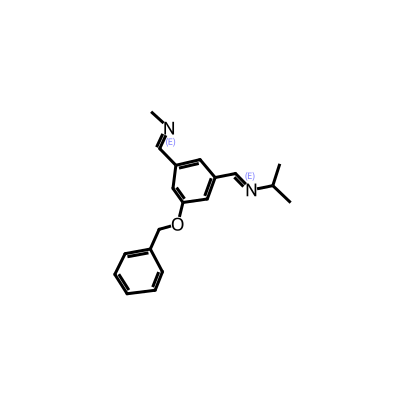 C/N=C/c1cc(/C=N/C(C)C)cc(OCc2ccccc2)c1